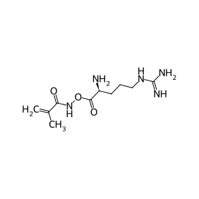 C=C(C)C(=O)NOC(=O)[C@@H](N)CCCNC(=N)N